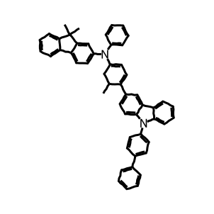 CC1CC(N(c2ccccc2)c2ccc3c(c2)C(C)(C)c2ccccc2-3)=CC=C1c1ccc2c(c1)c1ccccc1n2-c1ccc(-c2ccccc2)cc1